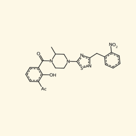 CC(=O)c1cccc(C(=O)N2CCN(c3nc(Cc4ccccc4[N+](=O)[O-])ns3)CC2C)c1O